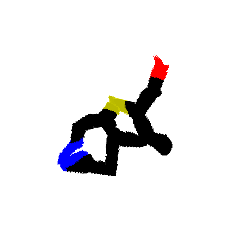 Cc1c(C=O)sc2cnccc12